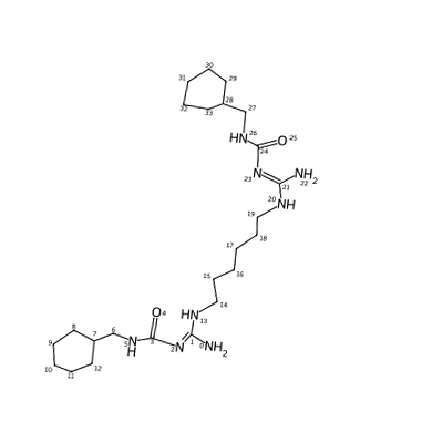 NC(=NC(=O)NCC1CCCCC1)NCCCCCCNC(N)=NC(=O)NCC1CCCCC1